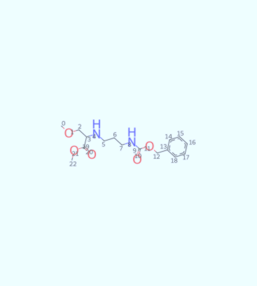 COCC(NCCCNC(=O)OCc1ccccc1)C(=O)OC